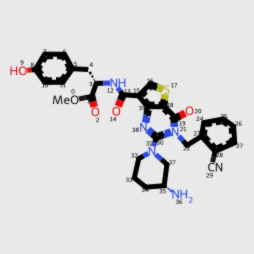 COC(=O)[C@H](Cc1ccc(O)cc1)NC(=O)c1csc2c(=O)n(Cc3ccccc3C#N)c(N3CCC[C@@H](N)C3)nc12